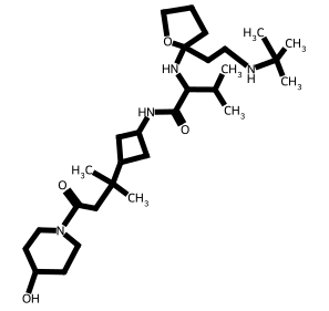 CC(C)C(NC1(CCNC(C)(C)C)CCCO1)C(=O)NC1CC(C(C)(C)CC(=O)N2CCC(O)CC2)C1